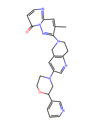 Cc1cc2nccc(=O)n2nc1N1CCc2ncc(N3CCOC(c4cccnc4)C3)cc2C1